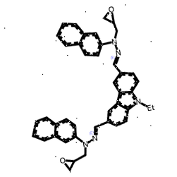 CCn1c2ccc(/C=N/N(CC3CO3)c3ccc4ccccc4c3)cc2c2cc(/C=N/N(CC3CO3)c3ccc4ccccc4c3)ccc21